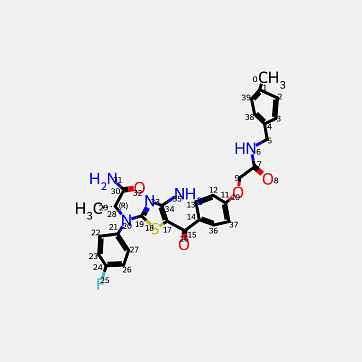 Cc1ccc(CNC(=O)COc2ccc(C(=O)c3sc(N(c4ccc(F)cc4)[C@H](C)C(N)=O)nc3N)cc2)cc1